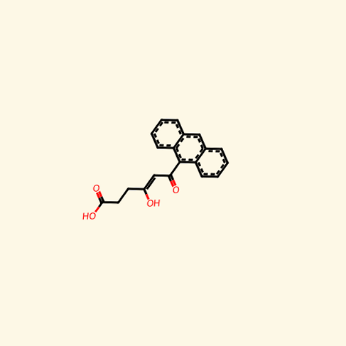 O=C(O)CC/C(O)=C/C(=O)c1c2ccccc2cc2ccccc12